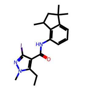 CCc1c(C(=O)Nc2cccc3c2C(C)CC3(C)C)c(I)nn1C